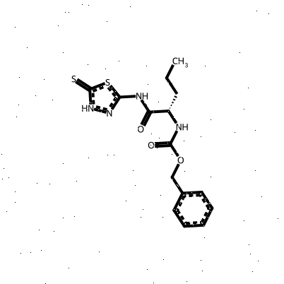 CCC[C@H](NC(=O)OCc1ccccc1)C(=O)Nc1n[nH]c(=S)s1